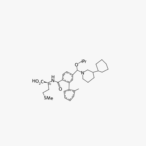 CSCC[C@H](NC(=O)c1ccc(C(OC(C)C)N2CCCC(C3CCCCC3)C2)cc1-c1ccccc1C)C(=O)O